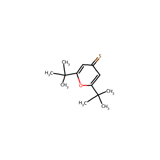 CC(C)(C)c1cc(=S)cc(C(C)(C)C)o1